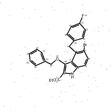 CCOC(=O)c1[nH]c2ccc(Br)c(Cc3ccc(F)cc3)c2c1OCc1ccccc1